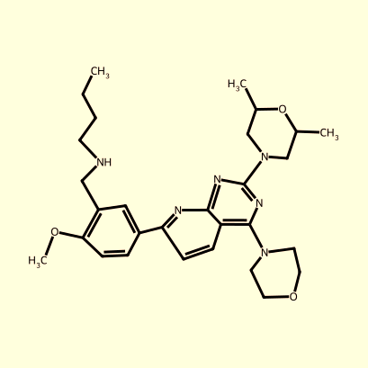 CCCCNCc1cc(-c2ccc3c(N4CCOCC4)nc(N4CC(C)OC(C)C4)nc3n2)ccc1OC